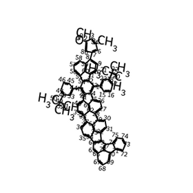 COc1cc(C)cc(-c2ccc3c4c(-c5cccc(C(C)(C)C)c5)c5c6ccc7c8ccc9c%10c(ccc(c%11ccc(c5c(-c5cccc(C(C)(C)C)c5)c4c4cccc2c43)c6c%117)c8%10)c2cc3cccc4c5ccccc5c(c34)c29)c1